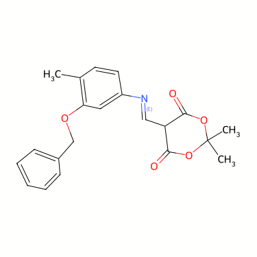 Cc1ccc(/N=C/C2C(=O)OC(C)(C)OC2=O)cc1OCc1ccccc1